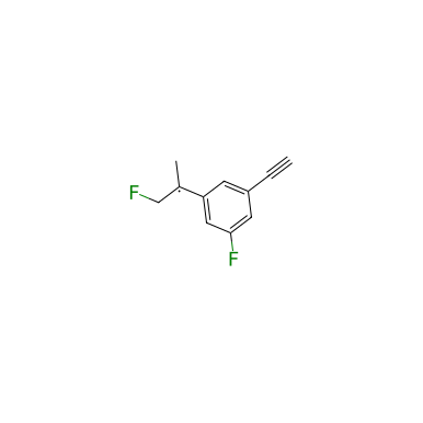 C#Cc1cc(F)cc([C](C)CF)c1